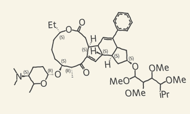 CC[C@H]1CCC[C@H](O[C@H]2CC[C@H](N(C)C)C(C)O2)[C@@H](C)C(=O)C2=C[C@@H]3C(C=C(c4ccccc4)C4C[C@@H](OC(OC)C(OC)C(OC)C(OC)C(C)C)C[C@H]43)[C@@H]2CC(=O)O1